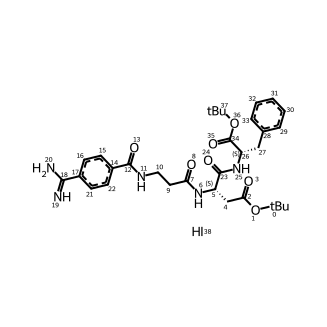 CC(C)(C)OC(=O)C[C@H](NC(=O)CCNC(=O)c1ccc(C(=N)N)cc1)C(=O)N[C@@H](Cc1ccccc1)C(=O)OC(C)(C)C.I